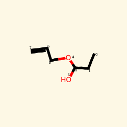 [CH2]CC(O)OCC=C